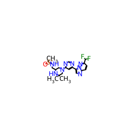 C[S+]([O-])NCC1CN(c2cc(-c3cnc4ccc(C(F)F)nn34)ncn2)CC(C)(C)N1